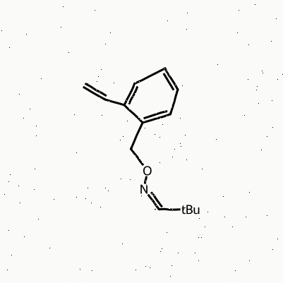 C=Cc1ccccc1CO/N=[C]\C(C)(C)C